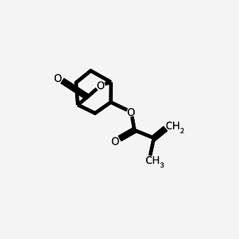 C=C(C)C(=O)OC1CC2CCC1OC2=O